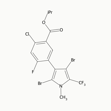 CC(C)OC(=O)c1cc(-c2c(Br)c(C(F)(F)F)n(C)c2Br)c(F)cc1Cl